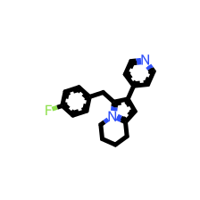 Fc1ccc(Cc2c(-c3ccncc3)cc3n2CCCC3)cc1